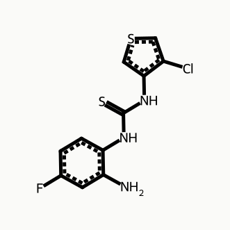 Nc1cc(F)ccc1NC(=S)Nc1cscc1Cl